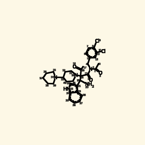 CC(=O)N(Cc1ccc(Cl)c(Cl)c1)C(=O)C(C(C)=O)(C(N)c1c[nH]c2ccccc12)N1CCC(N2CCCCC2)CC1